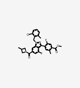 COC(=O)c1cc(F)c(-c2nn(Cc3c(C)cccc3Cl)c3cc(C(=O)N4CC(C)C4)cc(F)c23)cc1C